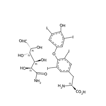 NC(=O)[C@@H](O)[C@H](O)[C@H](O)[C@@H](O)C=O.N[C@@H](Cc1cc(I)c(Oc2cc(I)c(O)c(I)c2)c(I)c1)C(=O)O